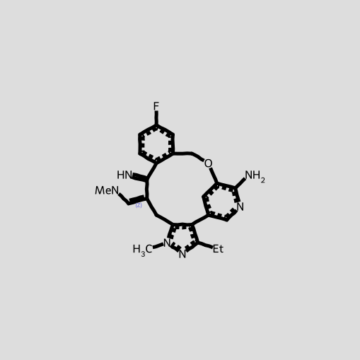 CCc1nn(C)c2c1-c1cnc(N)c(c1)OCc1cc(F)ccc1C(=N)/C(=C\NC)C2